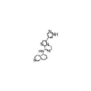 c1cc(NC2=NCCn3c(-c4cn[nH]c4)cnc32)c2ccncc2c1